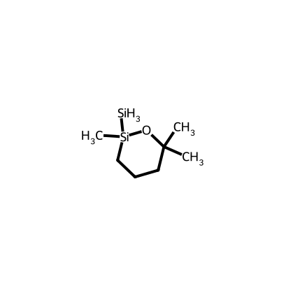 CC1(C)CCC[Si](C)([SiH3])O1